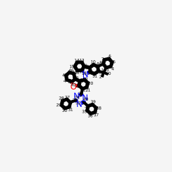 CC1(C)c2ccccc2-c2cc3c4ccccc4n(-c4ccc(-c5nc(-c6ccccc6)nc(-c6ccccc6)n5)c5oc6ccccc6c45)c3cc21